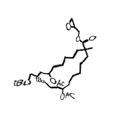 CC(=O)OC(CCCCCC(C)(CCCCCC(CCC(C)(C)C)OC(C)=O)C(=O)OCC1CO1)CCCC(C)(C)C